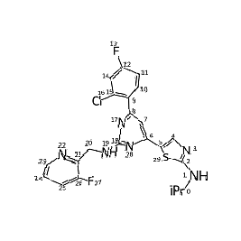 CC(C)Nc1ncc(-c2cc(-c3ccc(F)cc3Cl)nc(NCc3ncccc3F)n2)s1